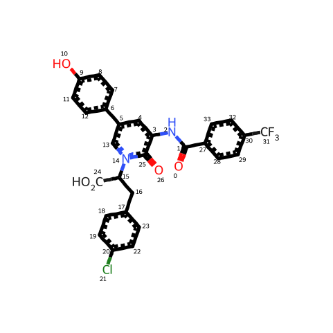 O=C(Nc1cc(-c2ccc(O)cc2)cn(C(Cc2ccc(Cl)cc2)C(=O)O)c1=O)c1ccc(C(F)(F)F)cc1